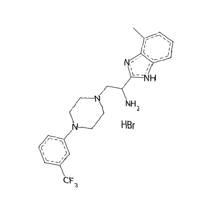 Br.Cc1cccc2[nH]c(C(N)CN3CCN(c4cccc(C(F)(F)F)c4)CC3)nc12